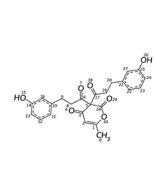 CC1=CC(=O)C(C(=O)CCc2cccc(O)c2)(C(=O)CCc2cccc(O)c2)C(=O)O1